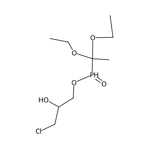 CCOC(C)(OCC)[PH](=O)OCC(O)CCl